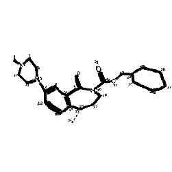 CC1c2cc(N3CCN(C)CC3)ccc2[C@@H](C)CCN1C(=O)OCC1CCCCC1